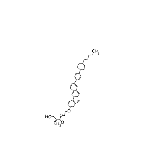 C=C(CO)C(=O)OCCOc1ccc(-c2ccc3cc(-c4ccc(C5CCC(CCCCC)CC5)cc4)ccc3c2)c(F)c1